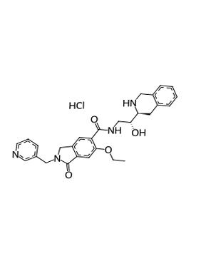 CCOc1cc2c(cc1C(=O)NC[C@@H](O)[C@@H]1Cc3ccccc3CN1)CN(Cc1cccnc1)C2=O.Cl